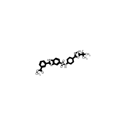 COC(=O)c1cccc(-c2nc3cc(S(=O)(=O)NC4CCC(c5nnc(C(C)(C)C)o5)CC4)ccc3[nH]2)c1